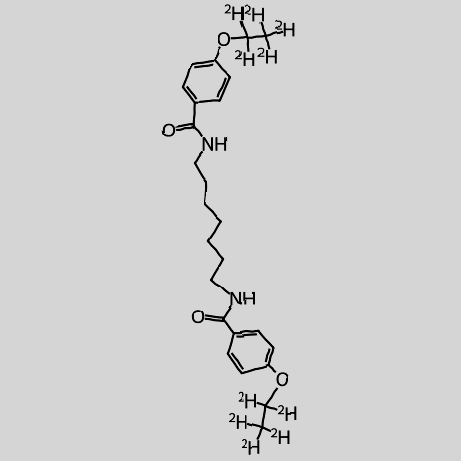 [2H]C([2H])([2H])C([2H])([2H])Oc1ccc(C(=O)NCCCCCCCNC(=O)c2ccc(OC([2H])([2H])C([2H])([2H])[2H])cc2)cc1